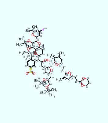 C=C1C[C@H](CC[C@@H]2O[C@@H](CCC3OCCCO3)CC2=C)O[C@H](C[C@@H]2O[C@H](C[C@@H](CO[Si](C)(C)C(C)(C)C)O[Si](C)(C)C(C)(C)C)C[C@H]2CC(O)C(c2cc([SH](=O)=O)ccc2CC)[C@H]2CC[C@@H]3OC(C(/C=C/I)O[Si](C)(C)C(C)(C)C)C(O[Si](C)(C)C(C)(C)C)C(O[Si](C)(C)C(C)(C)C)C3O2)C1C